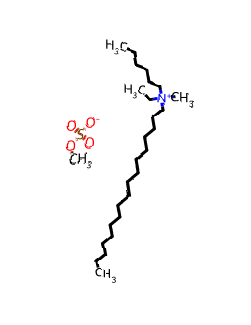 CCCCCCCCCCCCCCCCC[N+](C)(CC)CCCCCC.COS(=O)(=O)[O-]